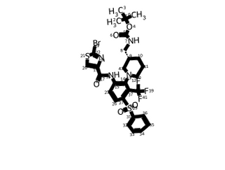 CC(C)(C)OC(=O)NC[C@@H]1CCCN(c2c(NC(=O)c3csc(Br)n3)ccc(S(=O)(=O)c3ccccc3)c2C(F)(F)F)C1